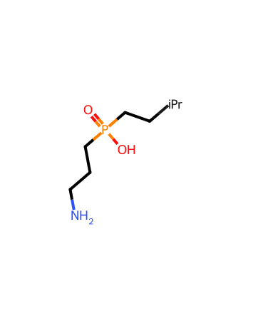 CC(C)CCP(=O)(O)CCCN